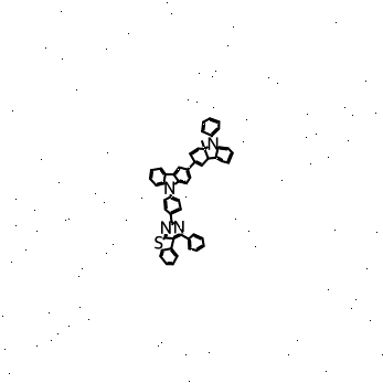 CC12C=CC(c3ccc4c(c3)c3ccccc3n4-c3ccc(-c4nc(-c5ccccc5)c5c(n4)sc4ccccc45)cc3)=CC1c1ccccc1N2c1ccccc1